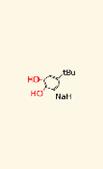 CC(C)(C)c1ccc(O)c(O)c1.[NaH]